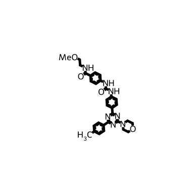 COCCNC(=O)c1ccc(NC(=O)Nc2ccc(-c3nc(-c4ccc(C)cc4)nc(N4CCOCC4)n3)cc2)cc1